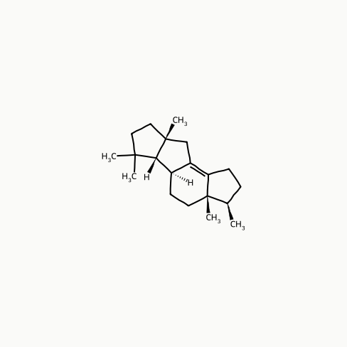 C[C@@H]1CCC2=C3C[C@@]4(C)CCC(C)(C)[C@H]4[C@@H]3CC[C@]21C